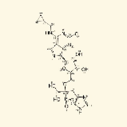 O=P(O)(O)[C@@](CO)(Cc1nn[nH]n1)OC[C@H]1O[C@@H](n2ncc3c(NCC4CC4)nc(Cl)nc32)[C@H](O)[C@@H]1O